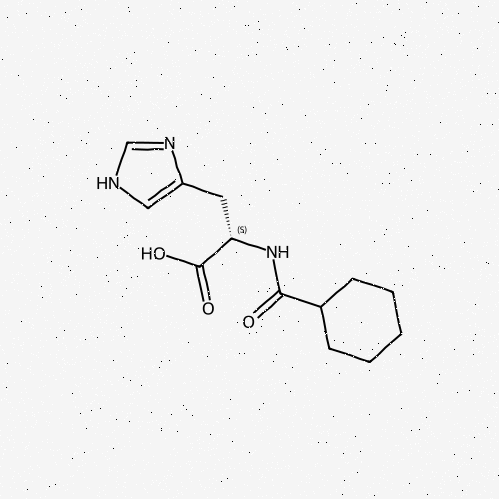 O=C(N[C@@H](Cc1c[nH]cn1)C(=O)O)C1CCCCC1